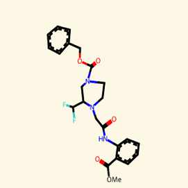 COC(=O)c1ccccc1NC(=O)CN1CCN(C(=O)OCc2ccccc2)CC1C(F)F